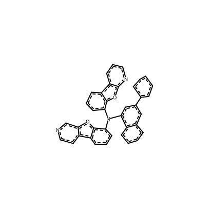 c1ccc(-c2cc(N(c3cccc4c3oc3cnccc34)c3cccc4c3oc3ncccc34)c3ccccc3c2)cc1